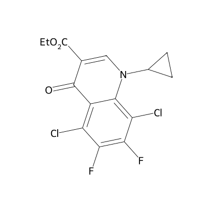 CCOC(=O)c1cn(C2CC2)c2c(Cl)c(F)c(F)c(Cl)c2c1=O